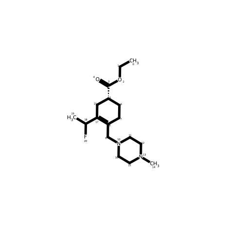 CCOC(=O)[C@@H]1CCC(CN2CCN(C)CC2)=C(C(C)F)C1